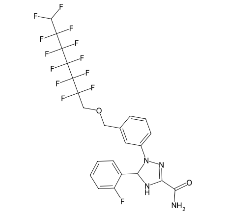 NC(=O)C1=NN(c2cccc(COCC(F)(F)C(F)(F)C(F)(F)C(F)(F)C(F)(F)C(F)F)c2)C(c2ccccc2F)N1